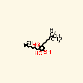 CC(C)(C)CCCCCc1cc(O)c(O)c(CCCCCC2(C)CC2)c1O